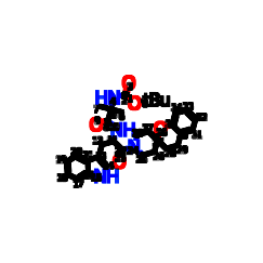 CC(C)(C)OC(=O)NC(C)(C)C(=O)NC(Cc1c[nH]c2ccccc12)C(=O)N1CCC2(CCc3ccccc3O2)CC1